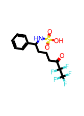 O=C(CCCC(NS(=O)(=O)O)c1ccccc1)C(F)(F)C(F)(F)F